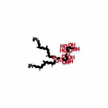 CC(C)CCC[C@@H](C)CCC[C@@H](C)CCC[C@@H](C)CCOC[C@H](CO[C@@H]1O[C@H](CO[C@@H]2O[C@H](CO)[C@@H](O)[C@H](O)[C@H]2O)[C@@H](O)[C@H](O)[C@H]1O)OCC[C@H](C)CCC[C@H](C)CCC[C@H](C)CCCC(C)C